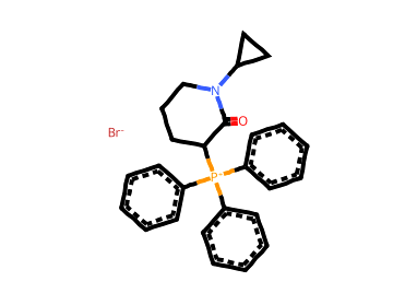 O=C1C([P+](c2ccccc2)(c2ccccc2)c2ccccc2)CCCN1C1CC1.[Br-]